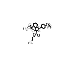 C#CCCOC(=O)c1nn(-c2ccc(OC(F)(F)F)cc2)c2cccc(S(C)(=O)=O)c2c1=O